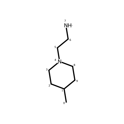 CC1CCN(CC[NH])CC1